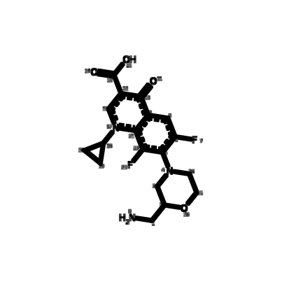 NCC1CN(c2c(F)cc3c(=O)c(C(=O)O)cn(C4CC4)c3c2F)CCO1